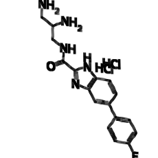 Cl.Cl.NCC(N)CNC(=O)c1nc2cc(-c3ccc(F)cc3)ccc2[nH]1